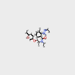 C=C(/C=C\C(Br)=C/C)OC[C@H](C)N(CC)C(=O)c1cccc(C)c1N(C)/N=C\C